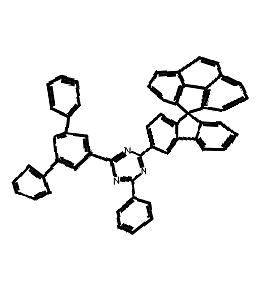 c1ccc(-c2cc(-c3ccccc3)cc(-c3nc(-c4ccccc4)nc(-c4ccc5c(c4)-c4ccccc4C54c5cccc6ccc7cccc4c7c56)n3)c2)cc1